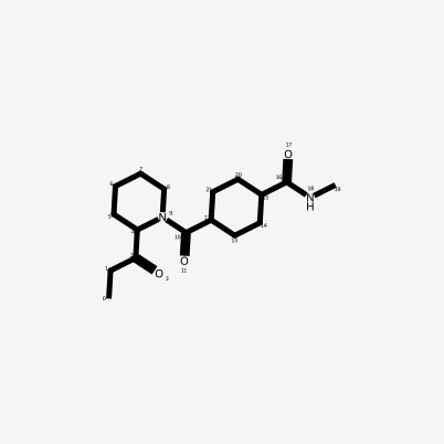 CCC(=O)C1CCCCN1C(=O)C1CCC(C(=O)NC)CC1